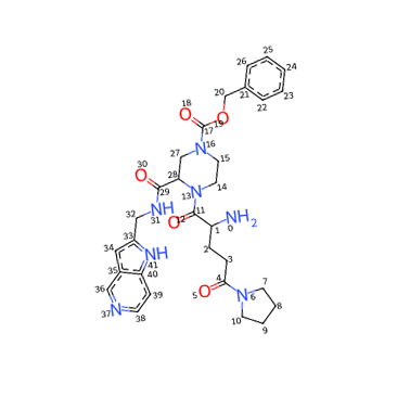 NC(CCC(=O)N1CCCC1)C(=O)N1CCN(C(=O)OCc2ccccc2)CC1C(=O)NCc1cc2cnccc2[nH]1